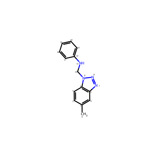 Cc1ccc2c(c1)nnn2CNc1ccccc1